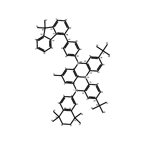 Cc1cc2c3c(c1)N(c1ccc4c(c1)C(C)(C)CCC4(C)C)c1cc(C(C)(C)C)ccc1B3c1ccc(C(C)(C)C)cc1N2c1ccc(-c2cccc3c2-c2ccccc2C3(C)C)cc1